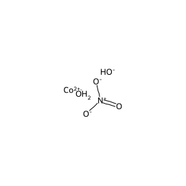 O.O=[N+]([O-])[O-].[Co+2].[OH-]